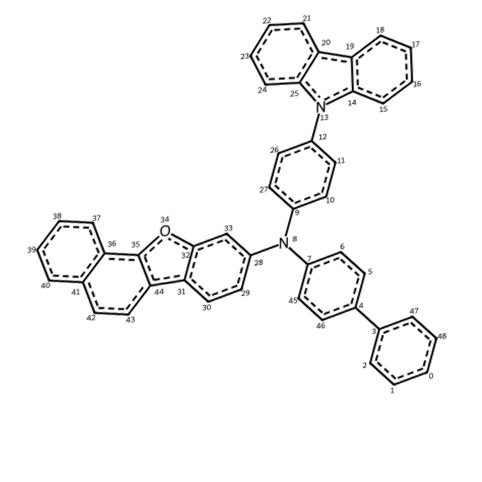 c1ccc(-c2ccc(N(c3ccc(-n4c5ccccc5c5ccccc54)cc3)c3ccc4c(c3)oc3c5ccccc5ccc43)cc2)cc1